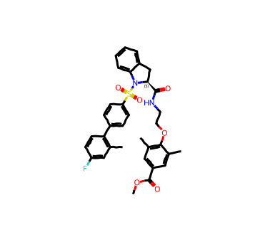 COC(=O)c1cc(C)c(OCCNC(=O)[C@@H]2Cc3ccccc3N2S(=O)(=O)c2ccc(-c3ccc(F)cc3C)cc2)c(C)c1